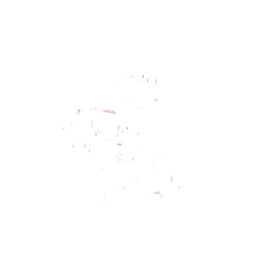 O=C(C1CCNCC1)N(CCOc1ccccc1)[C@@H](c1cccc(F)c1)c1ccccn1